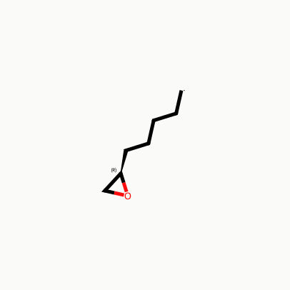 [CH2]CCCC[C@@H]1CO1